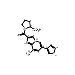 O=C(O)C1CCCN1C(=O)c1cn2cc(-c3ccoc3)cc(C(F)(F)F)c2n1